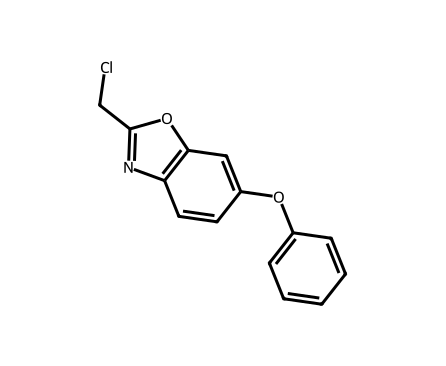 ClCc1nc2ccc(Oc3ccccc3)cc2o1